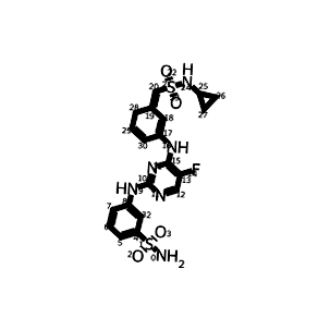 NS(=O)(=O)c1cccc(Nc2ncc(F)c(NC3=CC(=CS(=O)(=O)NC4CC4)CC=C3)n2)c1